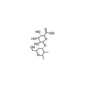 CC1OC(CO)C[C@H](O[C@@H]2OC(C(=O)O)[C@@H](O)[C@H](O)C2O)C1C